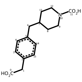 O=C(O)Cc1ccc(CC2CCN(C(=O)O)CC2)cc1